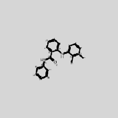 Cc1cccc(Nc2ccccc2C(=O)Nc2ccccc2)c1C